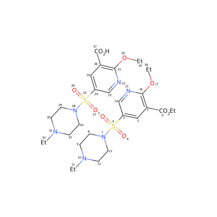 CCOC(=O)c1cc(S(=O)(=O)N2CCN(CC)CC2)cnc1OCC.CCOc1ncc(S(=O)(=O)N2CCN(CC)CC2)cc1C(=O)O